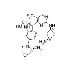 C[C@H]1COCCN1c1ccc2c(-c3nc(N[C@H]4CC[C@@H](N)C4)ncc3C(F)(F)F)c[nH]c2n1.O=CO